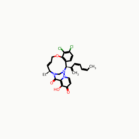 C=C(/C=C\C=C/C)[C@@H]1c2ccc(Cl)c(Cl)c2OC/C=C/[C@H](CC)N2CN1n1ccc(=O)c(O)c1C2=O